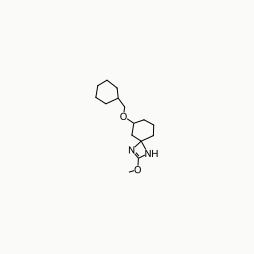 COC1=NC2(CCCC(OCC3CCCCC3)C2)N1